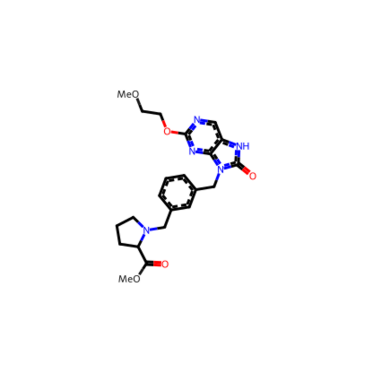 COCCOc1ncc2[nH]c(=O)n(Cc3cccc(CN4CCCC4C(=O)OC)c3)c2n1